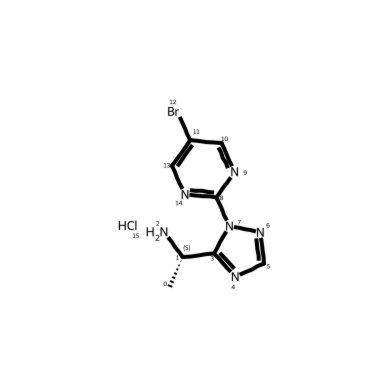 C[C@H](N)c1ncnn1-c1ncc(Br)cn1.Cl